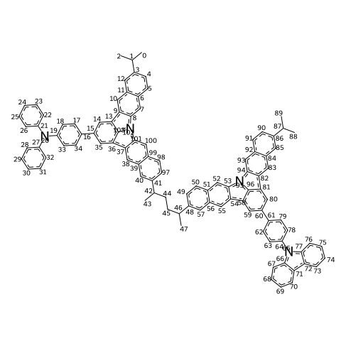 CC(C)c1ccc2cc3c(cc2c1)c1cc(-c2ccc(N(c4ccccc4)c4ccccc4)cc2)cc2c4cc5cc(C(C)CCC(C)c6ccc7cc8c(cc7c6)c6cc(-c7ccc(-n9c%10ccccc%10c%10ccccc%109)cc7)cc7c9cc%10cc(C(C)C)ccc%10cc9n8c76)ccc5cc4n3c12